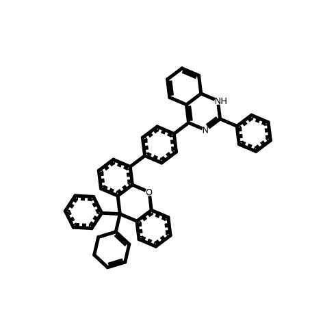 C1=CCCC(C2(c3ccccc3)c3ccccc3Oc3c(-c4ccc(C5=C6C=CC=CC6NC(c6ccccc6)=N5)cc4)cccc32)=C1